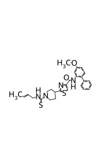 C/C=C/CNC(=S)N1CCC(c2nc(C(=O)Nc3cc(OC)ccc3-c3ccccc3)cs2)CC1